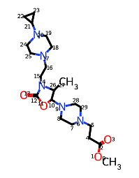 COC(=O)CCN1CCN(C2OC(=O)N(CCN3CCN(C4CC4)CC3)C2C)CC1